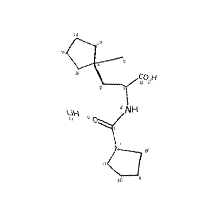 CC1(CC(NC(=O)N2CCCC2)C(=O)O)CCCC1.[LiH]